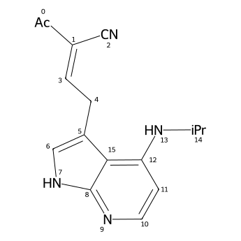 CC(=O)/C(C#N)=C/Cc1c[nH]c2nccc(NC(C)C)c12